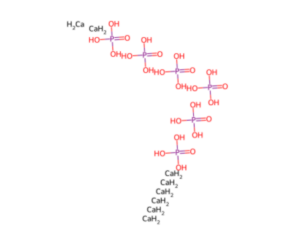 O=P(O)(O)O.O=P(O)(O)O.O=P(O)(O)O.O=P(O)(O)O.O=P(O)(O)O.O=P(O)(O)O.[CaH2].[CaH2].[CaH2].[CaH2].[CaH2].[CaH2].[CaH2].[CaH2]